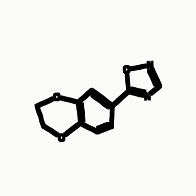 c1noc(-c2ccc3c(c2)OCCO3)n1